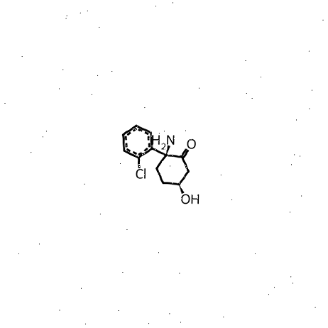 N[C@]1(c2ccccc2Cl)CC[C@H](O)CC1=O